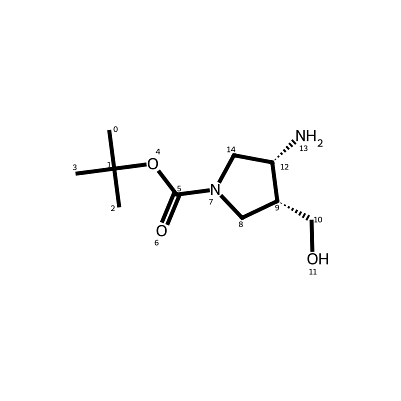 CC(C)(C)OC(=O)N1C[C@@H](CO)[C@@H](N)C1